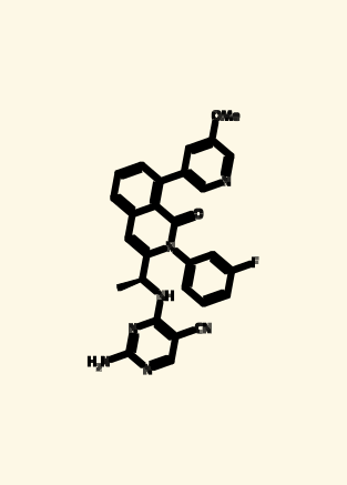 COc1cncc(-c2cccc3cc([C@H](C)Nc4nc(N)ncc4C#N)n(-c4cccc(F)c4)c(=O)c23)c1